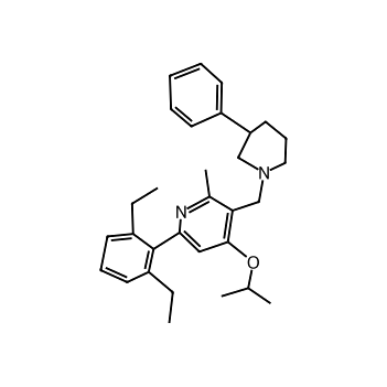 CCc1cccc(CC)c1-c1cc(OC(C)C)c(CN2CCCC(c3ccccc3)C2)c(C)n1